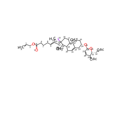 C=CCOC(=O)CCC/C=C(\C)[C@@H](C)C1(I)CCC2C(CC=C3C[C@@H](OC4C=C[C@H](OC(C)=O)[C@@H](COC(C)=O)O4)CC[C@@]32C)C1CC